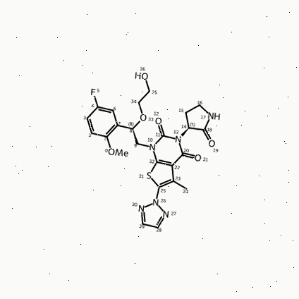 COc1ccc(F)cc1[C@H](Cn1c(=O)n([C@H]2CCNC2=O)c(=O)c2c(C)c(-n3nccn3)sc21)OCCO